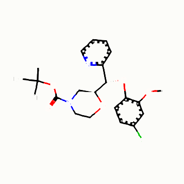 COc1cc(Cl)ccc1O[C@@H](c1ccccn1)[C@@H]1CN(C(=O)OC(C)(C)C)CCO1